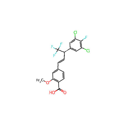 COc1cc(C=CC(c2cc(Cl)c(F)c(Cl)c2)C(F)(F)F)ccc1C(=O)O